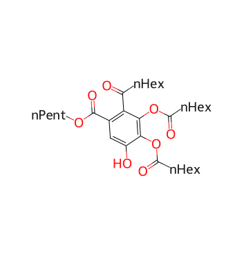 CCCCCCC(=O)Oc1c(O)cc(C(=O)OCCCCC)c(C(=O)CCCCCC)c1OC(=O)CCCCCC